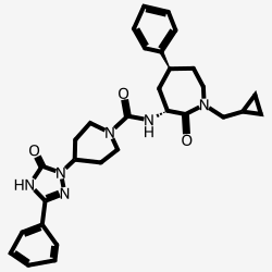 O=C(N[C@@H]1C[C@@H](c2ccccc2)CCN(CC2CC2)C1=O)N1CCC(n2nc(-c3ccccc3)[nH]c2=O)CC1